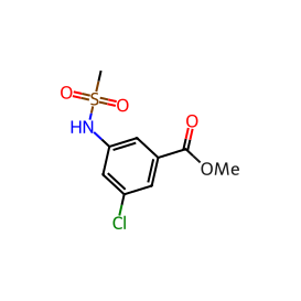 COC(=O)c1cc(Cl)cc(NS(C)(=O)=O)c1